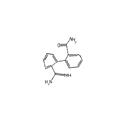 N=C(N)c1ccccc1-c1ccccc1C(N)=O